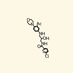 CC(=O)c1cc(NCC(O)CNC(=O)c2ccc(Cl)s2)ccc1N1CCOCC1